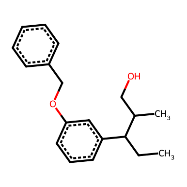 CCC(c1cccc(OCc2ccccc2)c1)C(C)CO